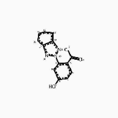 O=C(Cl)c1ccc(O)cc1-n1nc2ccccc2n1